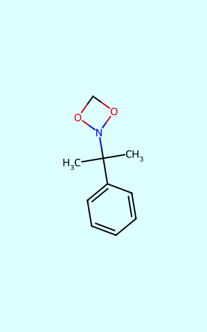 CC(C)(c1ccccc1)N1OCO1